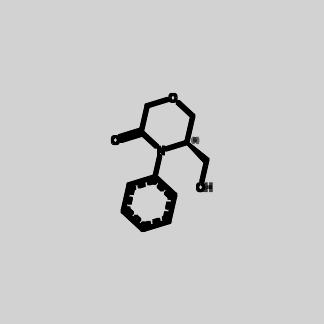 O=C1COC[C@@H](CO)N1c1ccccc1